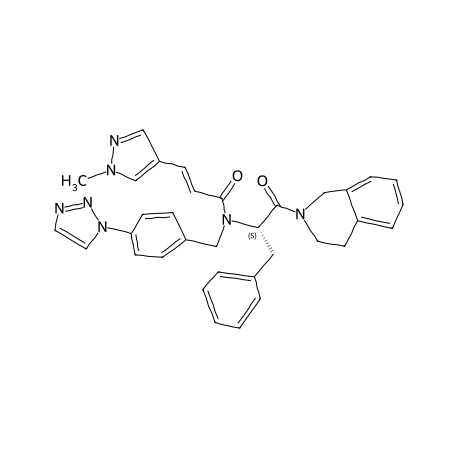 Cn1cc(C=CC(=O)N(Cc2ccc(-n3ccnn3)cc2)[C@@H](Cc2ccccc2)C(=O)N2CCc3ccccc3C2)cn1